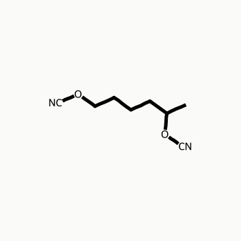 CC(CCCCOC#N)OC#N